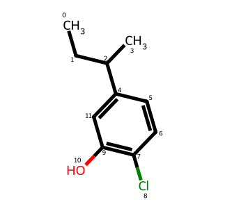 CCC(C)c1ccc(Cl)c(O)c1